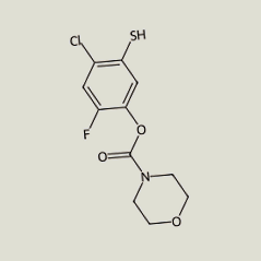 O=C(Oc1cc(S)c(Cl)cc1F)N1CCOCC1